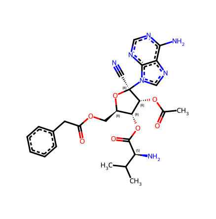 CC(=O)O[C@@H]1[C@H](OC(=O)[C@@H](N)C(C)C)[C@@H](COC(=O)Cc2ccccc2)O[C@@]1(C#N)n1cnc2c(N)ncnc21